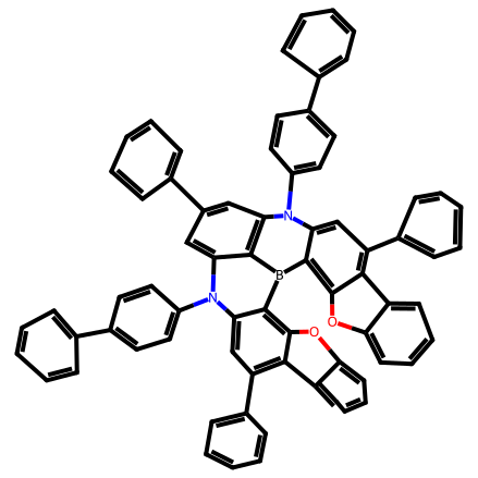 c1ccc(-c2ccc(N3c4cc(-c5ccccc5)cc5c4B(c4c3cc(-c3ccccc3)c3c4oc4ccccc43)c3c(cc(-c4ccccc4)c4c3oc3ccccc34)N5c3ccc(-c4ccccc4)cc3)cc2)cc1